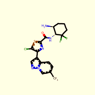 N[C@H]1CCCC(F)(F)[C@@H]1NC(=O)c1nc(-c2cnn3cc(C(F)(F)F)ccc23)c(Cl)s1